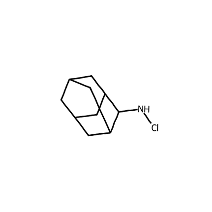 ClNC1C2CC3CC(C2)CC1C3